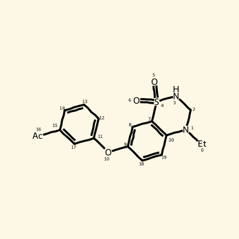 CCN1CNS(=O)(=O)c2cc(Oc3cccc(C(C)=O)c3)ccc21